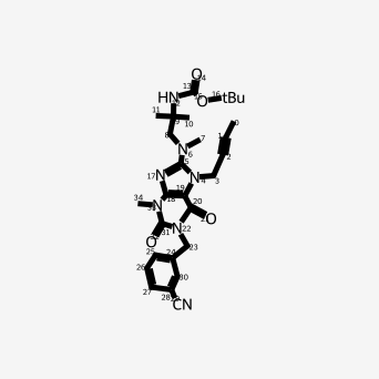 CC#CCn1c(N(C)CC(C)(C)NC(=O)OC(C)(C)C)nc2c1c(=O)n(Cc1cccc(C#N)c1)c(=O)n2C